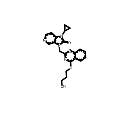 O=c1n(Cc2nc(OCCCO)c3ccccc3n2)c2cnccc2n1C1CC1